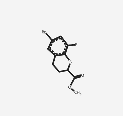 COC(=O)C1CCc2cc(Br)cc(F)c2S1